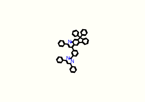 c1ccc(-c2cc(-c3ccccc3)nc(-c3cccc(-c4cc(-c5ccccc5)nc5cc6c(cc45)-c4ccccc4C6(c4ccccc4)c4ccccc4)c3)n2)cc1